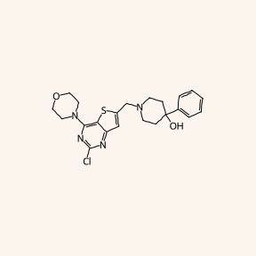 OC1(c2ccccc2)CCN(Cc2cc3nc(Cl)nc(N4CCOCC4)c3s2)CC1